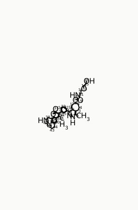 CC1=C2CCCC(OC(=O)NCCOCCO)CCC2C(c2cccc(-c3c(C)c4cc5c6c(c4oc3=O)CNCN6CCC5)c2)=NN1